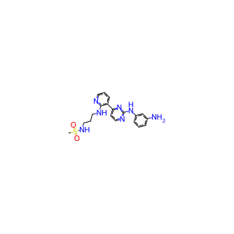 CS(=O)(=O)NCCCNc1ncccc1-c1ccnc(Nc2cccc(N)c2)n1